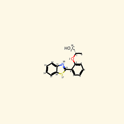 C[C@H](Oc1ccccc1-c1nc2ccccc2s1)C(=O)O